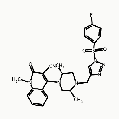 C[C@H]1CN(c2c(C#N)c(=O)n(C)c3ccccc23)[C@@H](C)CN1Cc1cn(S(=O)(=O)c2ccc(F)cc2)nn1